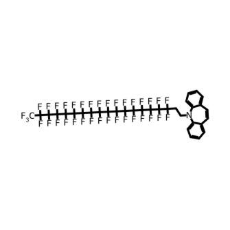 FC(F)(F)C(F)(F)C(F)(F)C(F)(F)C(F)(F)C(F)(F)C(F)(F)C(F)(F)C(F)(F)C(F)(F)C(F)(F)C(F)(F)C(F)(F)C(F)(F)C(F)(F)C(F)(F)C(F)(F)CCN1c2ccccc2C=Cc2ccccc21